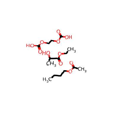 CCCCOC(C)=O.CCOC(=O)C(C)O.O=C(O)OCCOC(=O)O